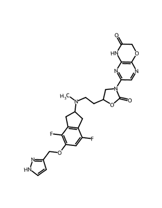 CN(CCC1CN(c2cnc3c(n2)NC(=O)CO3)C(=O)O1)C1Cc2c(F)cc(OCc3cc[nH]n3)c(F)c2C1